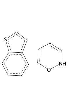 C1=CNOC=C1.c1ccc2sccc2c1